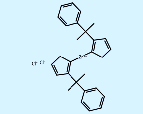 CC(C)(C1=[C]([Zr+2][C]2=C(C(C)(C)c3ccccc3)C=CC2)CC=C1)c1ccccc1.[Cl-].[Cl-]